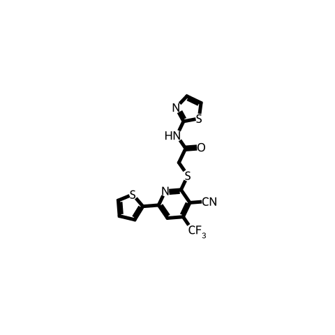 N#Cc1c(C(F)(F)F)cc(-c2cccs2)nc1SCC(=O)Nc1nccs1